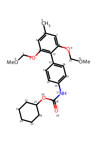 COCOc1cc(C)cc(OCOC)c1-c1ccc(NC(=O)OC2CCCCC2)cc1